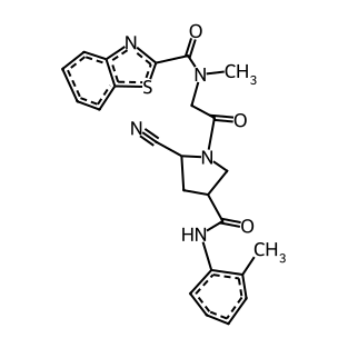 Cc1ccccc1NC(=O)C1CC(C#N)N(C(=O)CN(C)C(=O)c2nc3ccccc3s2)C1